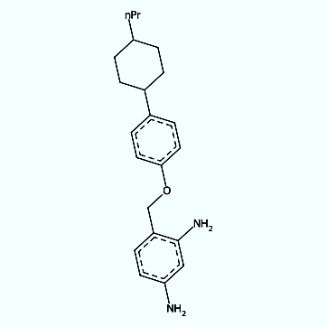 CCCC1CCC(c2ccc(OCc3ccc(N)cc3N)cc2)CC1